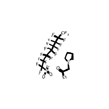 CCC(=O)C[S+]1CCCC1.O=S(=O)([O-])C(F)(F)C(F)(F)C(F)(F)C(F)(F)C(F)(F)C(F)(F)C(F)(F)C(F)(F)F